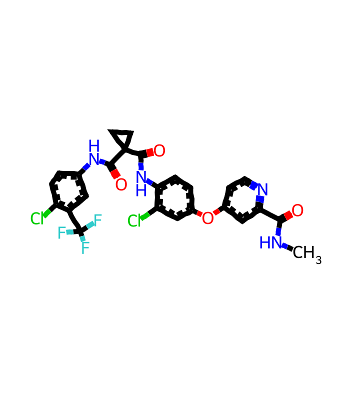 CNC(=O)c1cc(Oc2ccc(NC(=O)C3(C(=O)Nc4ccc(Cl)c(C(F)(F)F)c4)CC3)c(Cl)c2)ccn1